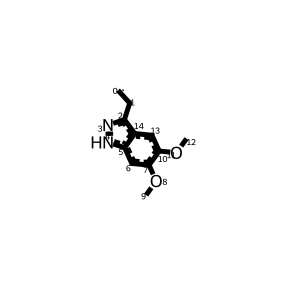 [CH2]Cc1n[nH]c2cc(OC)c(OC)cc12